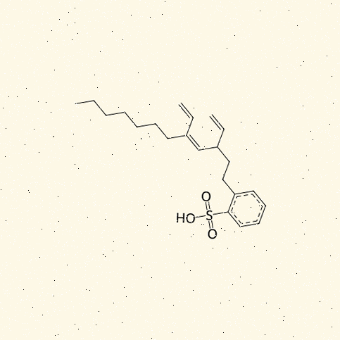 C=CC(=CC(C=C)CCc1ccccc1S(=O)(=O)O)CCCCCCC